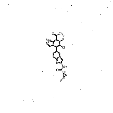 CC(=O)c1c(F)c(Cl)c(-c2ccc3nc(NC(=O)[C@@H]4C[C@@H]4F)cn3c2)c2cn[nH]c12